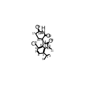 CC(C)c1ccc(Cl)c2c1n(C)c(=O)n2C1CCC(=O)NC1=O